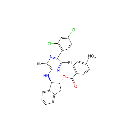 CCc1nc(-c2ccc(Cl)cc2Cl)c(CC)nc1N[C@@H]1c2ccccc2C[C@H]1OC(=O)c1ccc([N+](=O)[O-])cc1